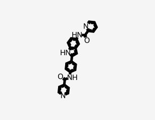 O=C(Nc1ccc(-c2cc3cc(NC(=O)c4ccccn4)ccc3[nH]2)cc1)c1ccncc1